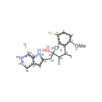 COc1ccc(F)cc1C(C)C(C)C(O)(Cc1cc2ccnc(F)c2[nH]1)C(F)(F)F